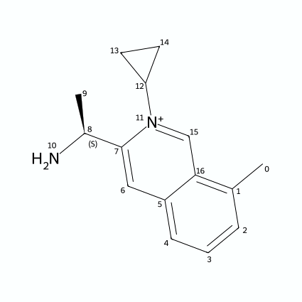 Cc1cccc2cc([C@H](C)N)[n+](C3CC3)cc12